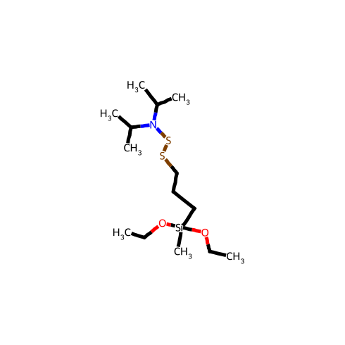 CCO[Si](C)(CCCSSN(C(C)C)C(C)C)OCC